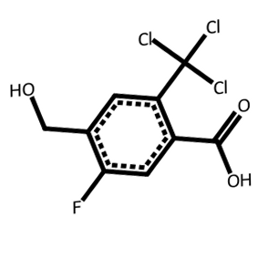 O=C(O)c1cc(F)c(CO)cc1C(Cl)(Cl)Cl